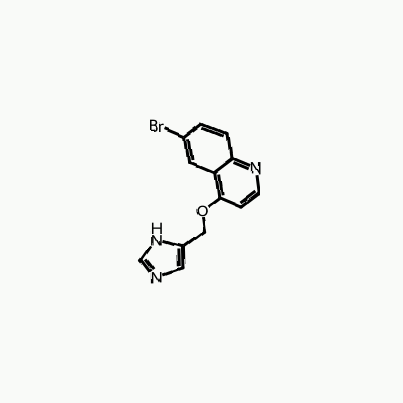 Brc1ccc2nccc(OCc3cnc[nH]3)c2c1